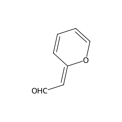 O=CC=C1C=CC=CO1